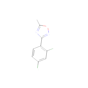 CC(C)(C)c1nc(-c2ccc(Cl)cc2Cl)no1